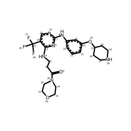 O=C(CCNc1nc(Nc2cccc(OC3CCNCC3)c2)ncc1C(F)(F)F)N1CCOCC1